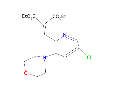 CCOC(=O)C(=Cc1ncc(Cl)cc1N1CCOCC1)C(=O)OCC